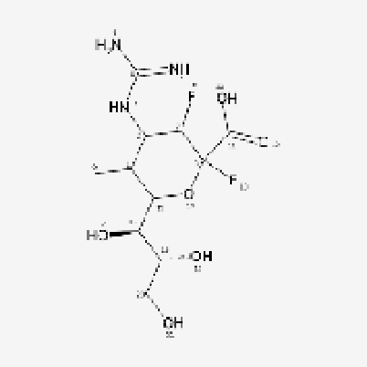 CC1C(NC(=N)N)C(F)C(F)(C(=O)O)OC1[C@H](O)[C@H](O)CO